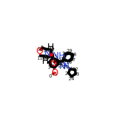 COc1ccc(CN2[C@@H]3COC[C@H]2C[C@@H](NC(=O)c2nn(C4CCCC4)c4ccccc24)C3)cc1